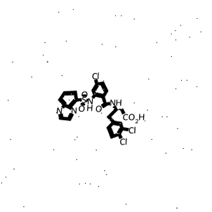 O=C(O)C[C@H](Cc1ccc(Cl)c(Cl)c1)NC(=O)c1ccc(Cl)cc1NS(=O)(=O)c1cccc2nccnc12